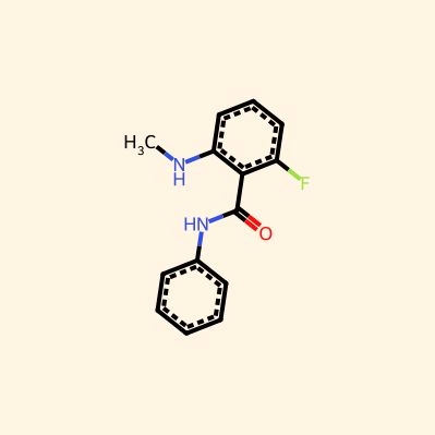 CNc1cccc(F)c1C(=O)Nc1ccccc1